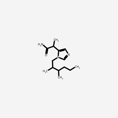 CCCC(C)C(C)Cn1cncc1C(C)C(N)=O